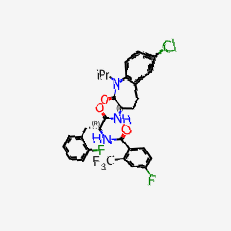 CC(C)N1C(=O)[C@H](NC(=O)[C@@H](Cc2ccccc2F)NC(=O)c2ccc(F)cc2C(F)(F)F)CCc2cc(Cl)ccc21